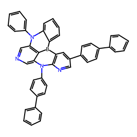 c1ccc(-c2ccc(-c3cnc4c(c3)B3c5ccccc5N(c5ccccc5)c5cncc(c53)N4c3ccc(-c4ccccc4)cc3)cc2)cc1